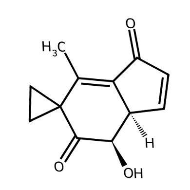 CC1=C2C(=O)C=C[C@H]2[C@@H](O)C(=O)C12CC2